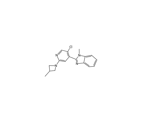 CC1CN(c2cc(-c3nc4ccccc4n3C)c(Cl)cn2)C1